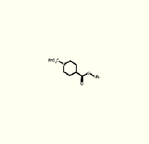 CCCCOC(=O)C1CCN(C(=O)OCC)CC1